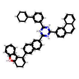 C1=CC2C=Cc3ccc(-c4nc(-c5cccc(C6=CCCCC6)c5)nc(-c5ccc6cc(C7=CCCc8oc9ccccc9c87)ccc6c5)n4)cc3C2C=C1